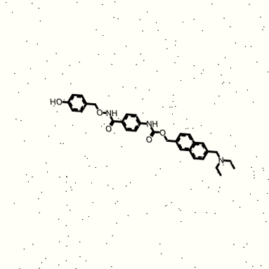 CCN(CC)Cc1ccc2cc(COC(=O)Nc3ccc(C(=O)NOCc4ccc(O)cc4)cc3)ccc2c1